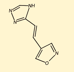 C(=Cc1nnc[nH]1)c1cnoc1